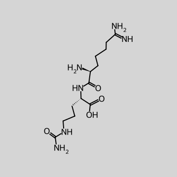 N=C(N)CCCC[C@H](N)C(=O)N[C@@H](CCCNC(N)=O)C(=O)O